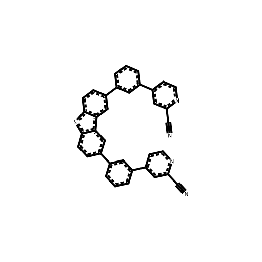 N#Cc1cc(-c2cccc(-c3ccc4sc5ccc(-c6cccc(-c7ccnc(C#N)c7)c6)cc5c4c3)c2)ccn1